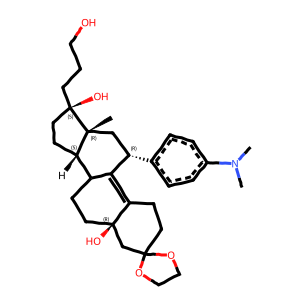 CN(C)c1ccc([C@H]2C[C@]3(C)[C@@H](CC[C@]3(O)CCCO)C3CC[C@@]4(O)CC5(CCC4=C32)OCCO5)cc1